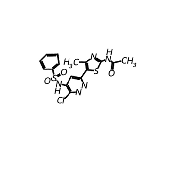 CC(=O)Nc1nc(C)c(-c2cc(NS(=O)(=O)c3ccccc3)c(Cl)nn2)s1